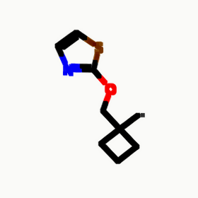 [CH2]C1(COc2nccs2)CCC1